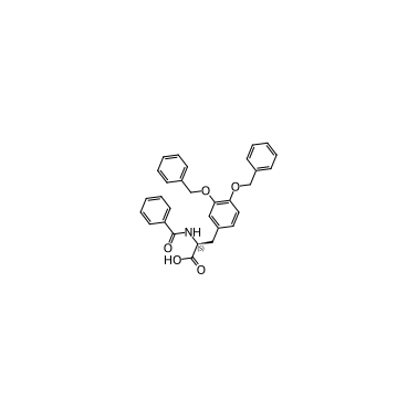 O=C(N[C@@H](Cc1ccc(OCc2ccccc2)c(OCc2ccccc2)c1)C(=O)O)c1ccccc1